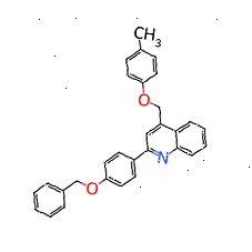 Cc1ccc(OCc2cc(-c3ccc(OCc4ccccc4)cc3)nc3ccccc23)cc1